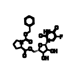 O=C(OC[C@@H]1O[C@H](n2cc(F)c(=O)[nH]c2=O)C(O)C1O)[C@H]1CCCN1C(=O)OCc1ccccc1